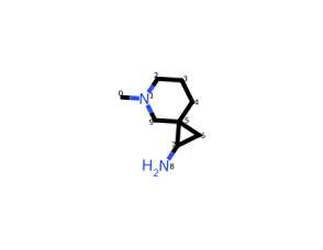 CN1CCCC2(CC2N)C1